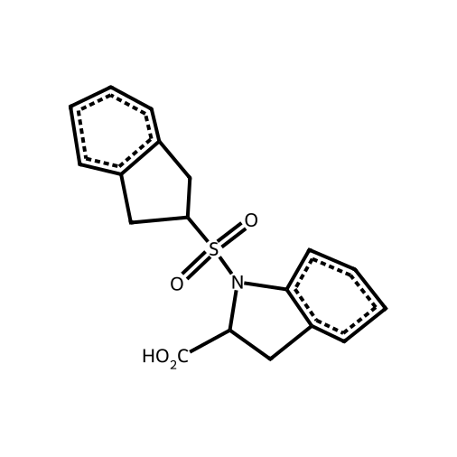 O=C(O)C1Cc2ccccc2N1S(=O)(=O)C1Cc2ccccc2C1